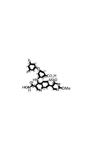 COc1ncc(-c2ccc3c(Nc4cc(Oc5cc(F)cc(F)c5)cc(C(=O)O)c4)c(C(=O)NO)cnc3c2)c(OC)n1